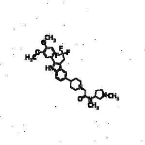 COc1ccc(-c2[nH]c3ccc(C4CCN(CC(=O)N(C)C5CCN(C)C5)CC4)cc3c2CC(F)(F)F)cc1OC